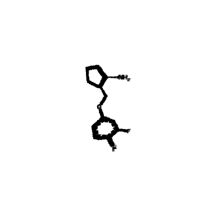 N[C@H]1CCC[C@@H]1COc1ccc(F)c(F)c1